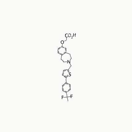 CC(F)(F)c1ccc(-c2ccc(CN3CCc4ccc(OCC(=O)O)cc4CC3)s2)cc1